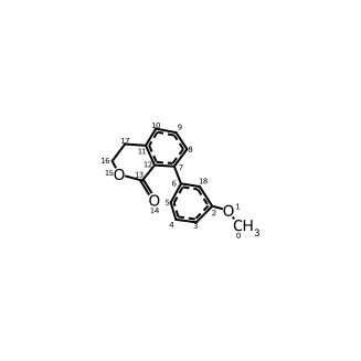 COc1cccc(-c2cccc3c2C(=O)OCC3)c1